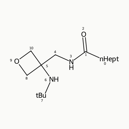 CCCCCCCC(=O)NCC1(NC(C)(C)C)COC1